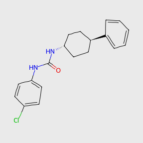 O=C(Nc1ccc(Cl)cc1)N[C@H]1CC[C@H](c2ccccc2)CC1